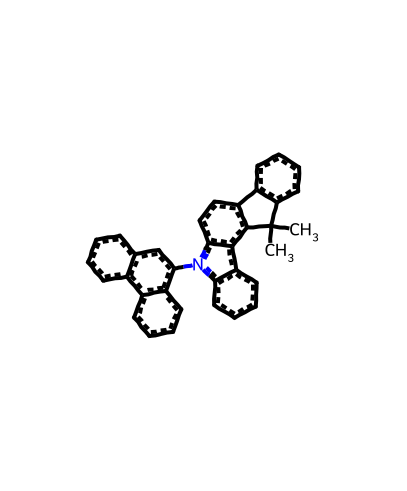 CC1(C)c2ccccc2-c2ccc3c(c21)c1ccccc1n3-c1cc2ccccc2c2ccccc12